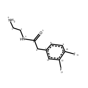 NCCNC(=O)Cc1ccc(F)c(F)c1